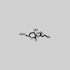 CCCCCCCCCCC[C@H]1C[C@H](O)[C@](CCCCCC)(OC(=O)CCC(C)C)C(=O)O1